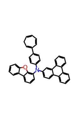 C1=CCC=C(c2ccc(N(c3ccc4c5ccccc5c5ccccc5c4c3)c3cccc4c3oc3ccccc34)cc2)C=C1